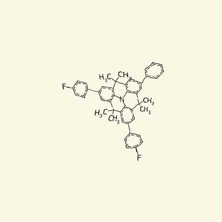 CC1(C)c2cc(-c3ccccc3)cc3c2N2c4c1cc(-c1ccc(F)cc1)cc4C(C)(C)c1cc(-c4ccc(F)cc4)cc(c12)C3(C)C